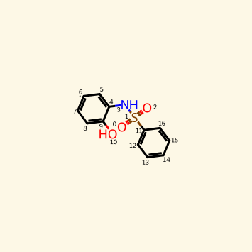 O=S(=O)(Nc1c[c]ccc1O)c1ccccc1